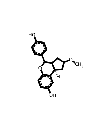 COC1CC2C(c3ccc(O)cc3)Oc3ccc(O)cc3[C@@H]2C1